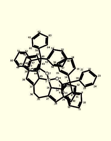 O=C([O][Ti]1([O]C(=O)C(c2ccccc2)(c2ccccc2)c2ccccc2)[CH]2C(=Cc3ccccc32)CCC2=Cc3ccccc3[CH]21)C(c1ccccc1)(c1ccccc1)c1ccccc1